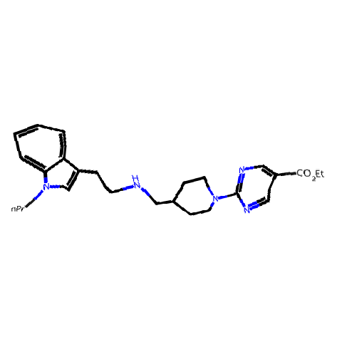 CCCn1cc(CCNCC2CCN(c3ncc(C(=O)OCC)cn3)CC2)c2ccccc21